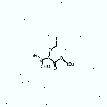 CC(C)[C@@H]([C]=O)N(OCI)C(=O)OC(C)(C)C